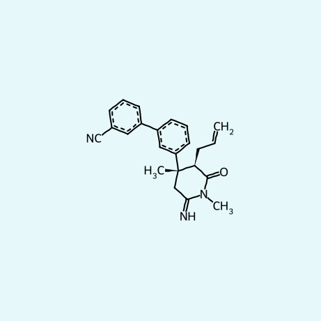 C=CC[C@H]1C(=O)N(C)C(=N)C[C@]1(C)c1cccc(-c2cccc(C#N)c2)c1